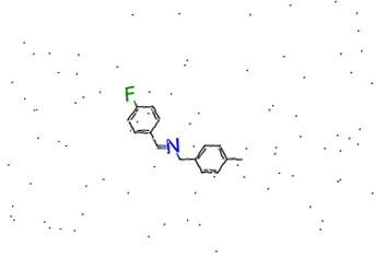 Cc1ccc(C/N=C/c2ccc(F)cc2)cc1